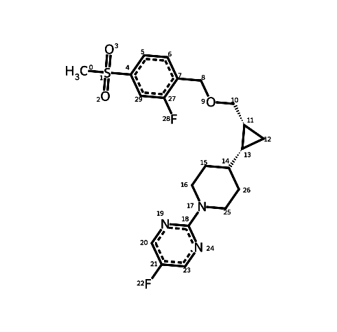 CS(=O)(=O)c1ccc(COC[C@@H]2C[C@@H]2C2CCN(c3ncc(F)cn3)CC2)c(F)c1